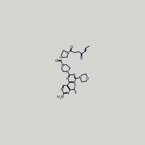 C/C=C/C(=O)CCC(=O)N1CC[C@@H](C(=O)N2CCN(c3nc(-c4cnc(N)nc4C(F)F)nc(N4CCOCC4)n3)CC2)C1